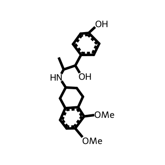 COc1ccc2c(c1OC)CCC(NC(C)C(O)c1ccc(O)cc1)C2